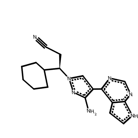 N#CC[C@H](C1CCCCC1)n1cc(-c2ncnc3[nH]ccc23)c(N)n1